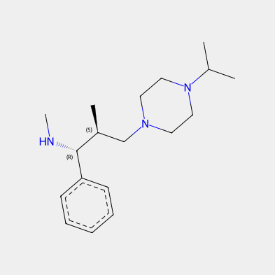 CN[C@@H](c1ccccc1)[C@@H](C)CN1CCN(C(C)C)CC1